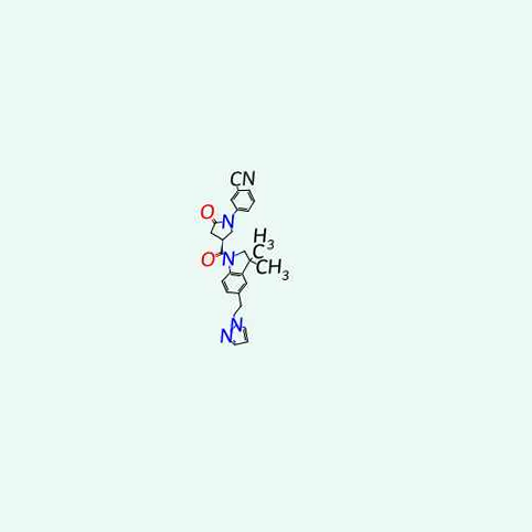 CC1(C)CN(C(=O)[C@H]2CC(=O)N(c3cccc(C#N)c3)C2)c2ccc(CCn3cccn3)cc21